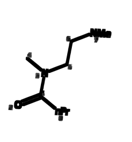 CCCC(=O)N(C)CCNC